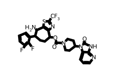 NC1c2sc(C(F)(F)F)nc2C(OC(=O)N2CCC(n3c(=O)[nH]c4ncccc43)CC2)CCC1c1cccc(F)c1F